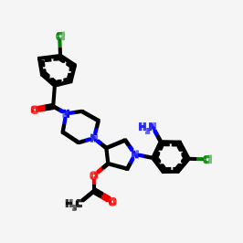 CC(=O)OC1CN(c2ccc(Cl)cc2N)CC1N1CCN(C(=O)c2ccc(Cl)cc2)CC1